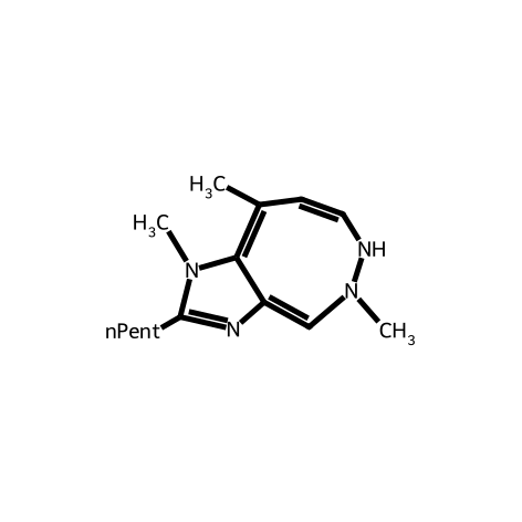 CCCCCc1nc2cn(C)[nH]ccc(C)c2n1C